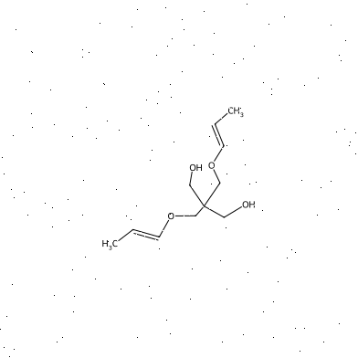 C/C=C/OCC(CO)(CO)CO/C=C/C